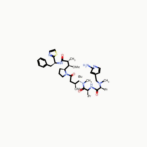 CC[C@H](C)[C@@H]([C@H](CC(=O)N1CCC[C@H]1[C@H](OC)[C@@H](C)C(=O)N[C@@H](Cc1ccccc1)c1nccs1)OC)N(C)C(=O)[C@@H](NC(=O)[C@H](C(C)C)N(C)Cc1ccnc(N)c1)C(C)C